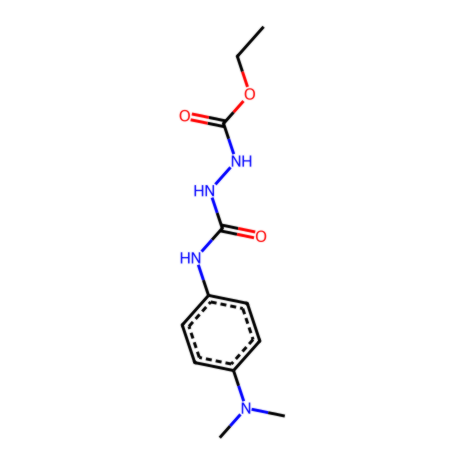 CCOC(=O)NNC(=O)Nc1ccc(N(C)C)cc1